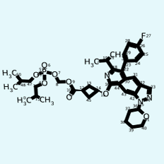 CC(C)COP(=O)(OCOC(=O)[C@H]1C[C@H](Oc2nc(C(C)C)c(-c3ccc(F)cc3)c3cc4cnn(C5CCCCO5)c4cc23)C1)OCC(C)C